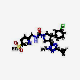 CCS(=O)(=O)c1ccc(CNC(=O)N2CC(c3cccc(Cl)c3)C(c3nc(C4CC4)nn3C(C)C)C2)nc1